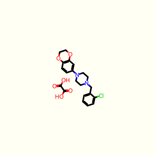 Clc1ccccc1CN1CCN(c2ccc3c(c2)OCCO3)CC1.O=C(O)C(=O)O